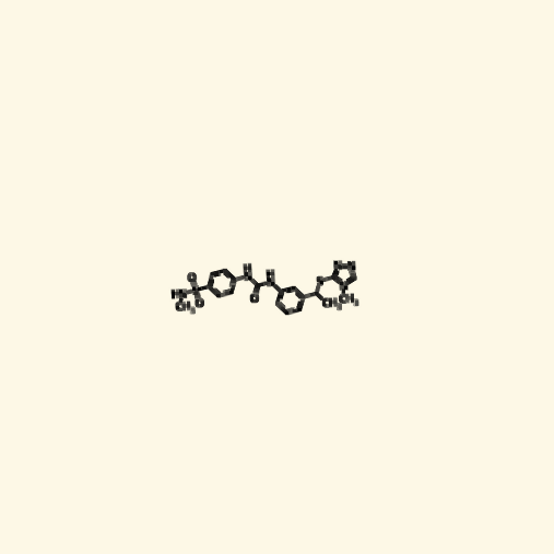 CNS(=O)(=O)c1ccc(NC(=O)Nc2cccc(C(C)Sc3nncn3C)c2)cc1